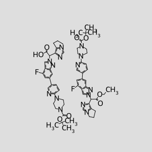 CC(C)(C)OC(=O)N1CCN(c2ccc(-c3cc(F)c4cn(C(C(=O)O)c5ncn6c5CCC6)nc4c3)cn2)CC1.CCOC(=O)C(c1ncn2c1CCC2)n1cc2c(F)cc(-c3ccc(N4CCN(C(=O)OC(C)(C)C)CC4)nc3)cc2n1